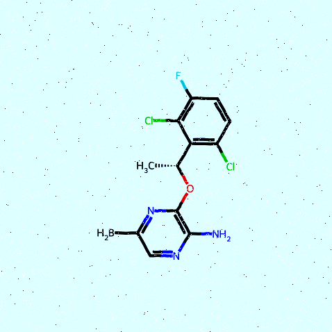 Bc1cnc(N)c(O[C@H](C)c2c(Cl)ccc(F)c2Cl)n1